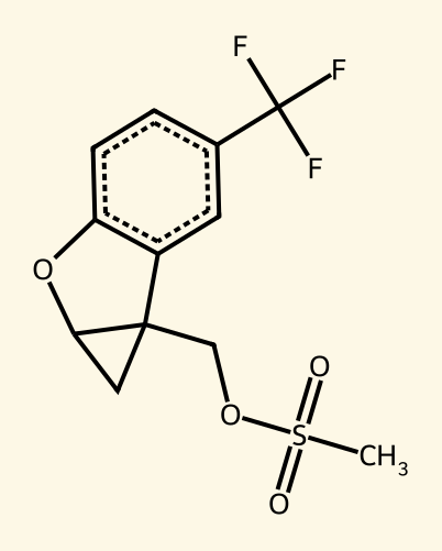 CS(=O)(=O)OCC12CC1Oc1ccc(C(F)(F)F)cc12